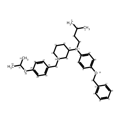 CC(C)CCN(c1ccc(OCc2ccccc2)cc1)C1CCCN(Cc2ccc(OC(C)C)cc2)C1